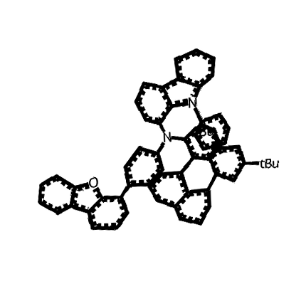 CC(C)(C)c1cc(-c2cccc3cccc(-c4ccccc4N(c4ccc(-c5cccc6c5oc5ccccc56)cc4)c4cccc5c6ccccc6n(-c6ccccc6)c45)c23)cc(C(C)(C)C)c1